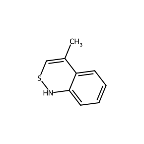 CC1=CSNc2ccccc21